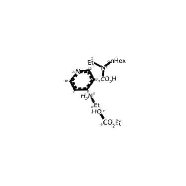 CCCCCCN(CC)C(=O)O.CCN.CCOC(=O)O.c1ccncc1